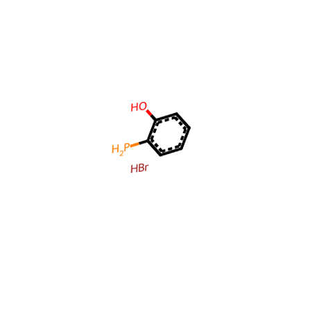 Br.Oc1ccccc1P